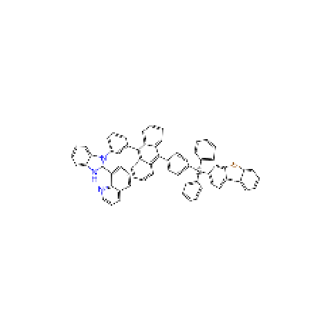 c1ccc([Si](c2ccccc2)(c2ccc(-c3c4ccccc4c(-c4cccc(N5c6ccccc6NC5c5cccc6cccnc56)c4)c4ccccc34)cc2)c2ccc3c(c2)sc2ccccc23)cc1